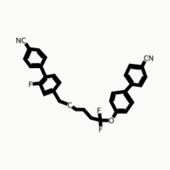 N#Cc1ccc(-c2ccc(OC(F)(F)CCCCCc3ccc(-c4ccc(C#N)cc4)c(F)c3)cc2)cc1